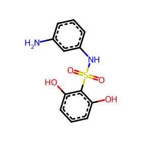 Nc1cccc(NS(=O)(=O)c2c(O)cccc2O)c1